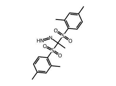 Cc1ccc(S(=O)(=O)C(C)(N=N)S(=O)(=O)c2ccc(C)cc2C)c(C)c1